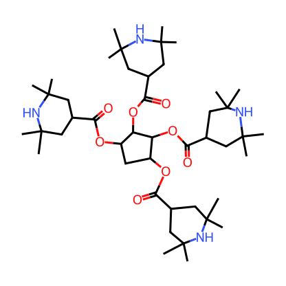 CC1(C)CC(C(=O)OC2CC(OC(=O)C3CC(C)(C)NC(C)(C)C3)C(OC(=O)C3CC(C)(C)NC(C)(C)C3)C2OC(=O)C2CC(C)(C)NC(C)(C)C2)CC(C)(C)N1